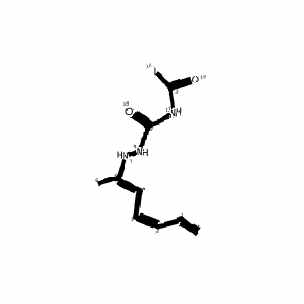 C=C/C=C\C=C(/C)NNC(=O)NC(=O)I